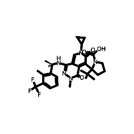 Cc1c([C@@H](C)Nc2nn(C)c(=O)c3c(C4(C(C)(C)C)CCCN4C(=O)O)c(=O)n(C4CC4)cc23)cccc1C(F)(F)F